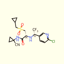 N#CC1(NC(=O)[C@H](CS(=O)(=O)CC2CC2)N[C@@H](c2ccc(Cl)nc2)C(F)(F)F)CC1